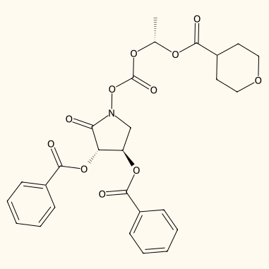 C[C@@H](OC(=O)ON1C[C@@H](OC(=O)c2ccccc2)[C@H](OC(=O)c2ccccc2)C1=O)OC(=O)C1CCOCC1